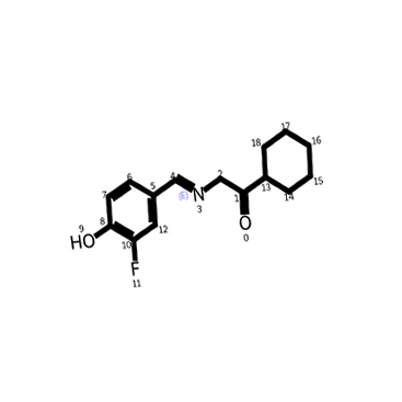 O=C(C/N=C/c1ccc(O)c(F)c1)C1CCCCC1